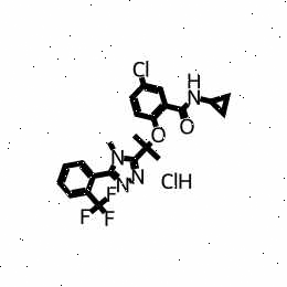 Cl.Cn1c(-c2ccccc2C(F)(F)F)nnc1C(C)(C)Oc1ccc(Cl)cc1C(=O)NC1CC1